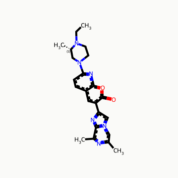 CCN1CCN(c2ccc3cc(-c4cn5cc(C)nc(C)c5n4)c(=O)oc3n2)C[C@@H]1C